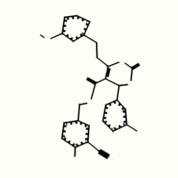 COc1cccc(CCC2=C(C(=O)OCc3ccc(F)c(C#N)c3)C(c3cccc(Cl)c3)NC(=O)N2)c1